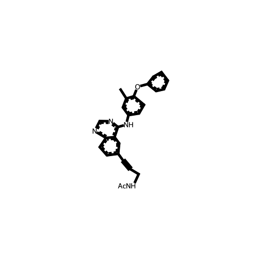 CC(=O)NCC#Cc1ccc2ncnc(Nc3ccc(Oc4ccccc4)c(C)c3)c2c1